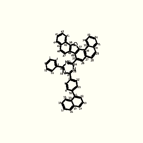 c1ccc(-c2nc(-c3ccc(-c4cccc5ccccc45)cc3)nc(-c3cc4ccc5ccccc5c4c4oc5c6ccccc6ccc5c34)n2)cc1